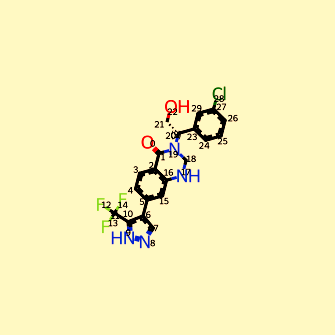 O=C1c2ccc(-c3cn[nH]c3C(F)(F)F)cc2NCN1[C@H](CO)c1cccc(Cl)c1